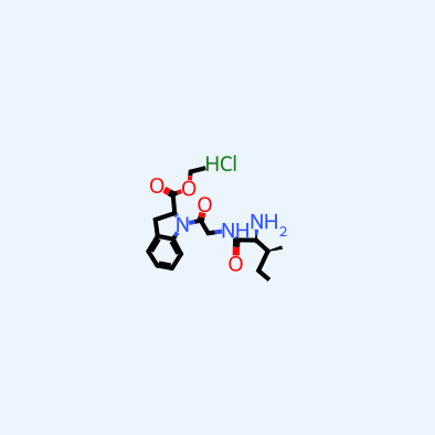 CCOC(=O)C1Cc2ccccc2N1C(=O)CNC(=O)[C@@H](N)[C@@H](C)CC.Cl